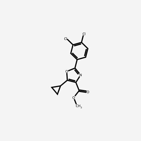 COC(=O)c1nc(-c2ccc(Cl)c(Cl)c2)oc1C1CC1